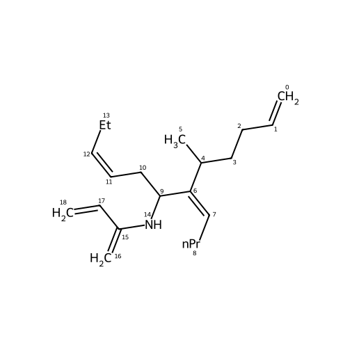 C=CCCC(C)/C(=C/CCC)C(C/C=C\CC)NC(=C)C=C